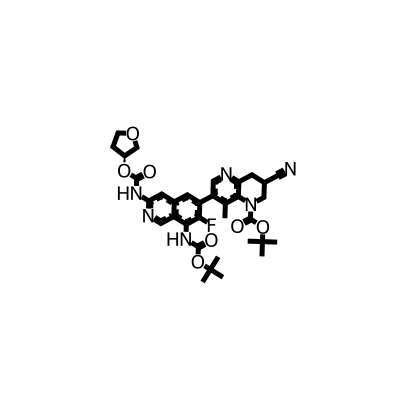 Cc1c(-c2cc3cc(NC(=O)O[C@@H]4CCOC4)ncc3c(NC(=O)OC(C)(C)C)c2F)cnc2c1N(C(=O)OC(C)(C)C)CC(C#N)C2